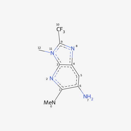 CNc1nc2c(cc1N)nc(C(F)(F)F)n2C